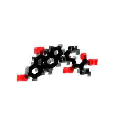 CC(C(=O)O)C(O)CCC(C)[C@H]1CC[C@H]2[C@@H]3[C@@H](O)C=C4C[C@@H](O)CC[C@]4(C)[C@H]3CC[C@]12C